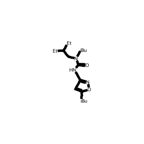 CCC(CC)CN(C(=O)Nc1cc(C(C)CC)on1)C(C)CC